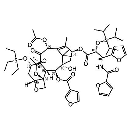 CC[Si](CC)(CC)O[C@H]1C[C@H]2OC[C@@]2(OC(C)=O)[C@H]2[C@H](OC(=O)c3ccoc3)[C@]3(O)C[C@H](OC(=O)[C@H](O[Si](C(C)C)(C(C)C)C(C)C)[C@@H](NC(=O)c4ccco4)c4ccco4)C(C)=C([C@@H](OC(C)=O)C(=O)[C@]12C)C3(C)C